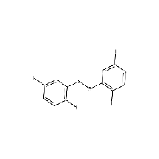 Ic1ccc(I)c(SSc2cc(I)ccc2I)c1